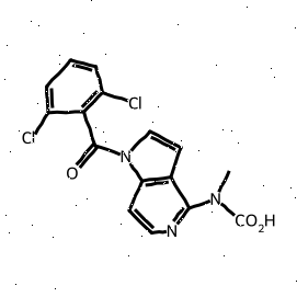 CN(C(=O)O)c1nccc2c1ccn2C(=O)c1c(Cl)cccc1Cl